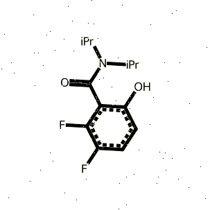 CC(C)N(C(=O)c1c(O)ccc(F)c1F)C(C)C